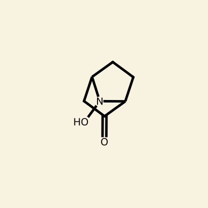 O=C1CC2CCC1N2O